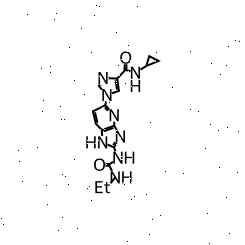 CCNC(=O)Nc1nc2nc(-n3cnc(C(=O)NC4CC4)c3)ccc2[nH]1